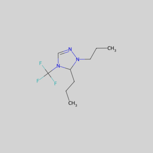 CCCC1N(CCC)N=CN1C(F)(F)F